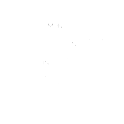 CCC(C)(NC(=O)N(C=O)NC)C(C)C